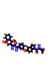 O=C(Nc1cc(Oc2ccc3c(ccn3C(=O)NC3CC3)c2)ccn1)N[C@@H](CO)C(=O)N1CCCCC1